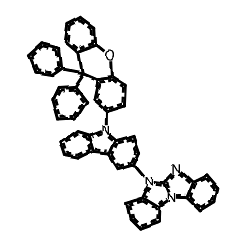 c1ccc(C2(c3ccccc3)c3ccccc3Oc3ccc(-n4c5ccccc5c5cc(-n6c7ccccc7n7c8ccccc8nc67)ccc54)cc32)cc1